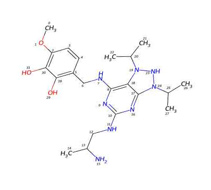 COc1ccc(CNc2nc(NCC(C)N)nc3c2N(C(C)C)NN3C(C)C)c(O)c1O